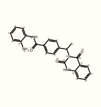 CC(c1ccc(C(=O)Nc2ccccc2N)cc1)n1c(=O)[nH]c2ccccc2c1=O